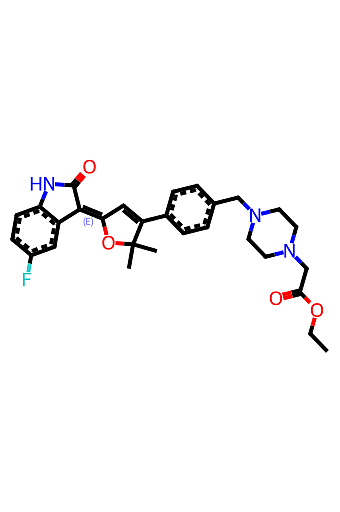 CCOC(=O)CN1CCN(Cc2ccc(C3=C/C(=C4\C(=O)Nc5ccc(F)cc54)OC3(C)C)cc2)CC1